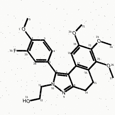 COc1ccc(-c2c3c(nn2CCO)CCc2c-3cc(OC)c(OC)c2OC)cc1F